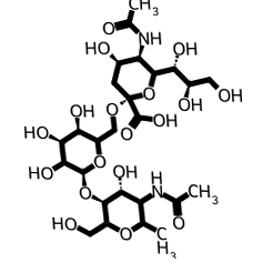 CC(=O)NC1C(C)OC(CO)[C@@H](O[C@@H]2OC(CO[C@]3(C(=O)O)C[C@@H](O)[C@@H](NC(C)=O)C([C@H](O)[C@H](O)CO)O3)[C@H](O)[C@H](O)C2O)[C@@H]1O